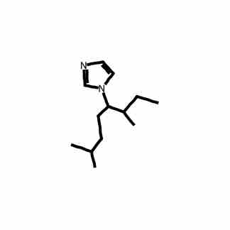 CCC(C)[C](CCC(C)C)n1ccnc1